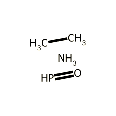 CC.N.O=P